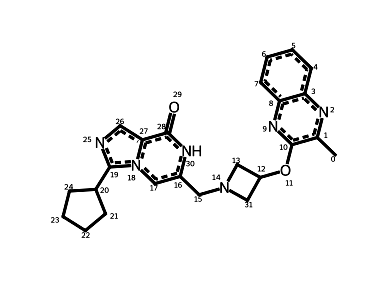 Cc1nc2ccccc2nc1OC1CN(Cc2cn3c(C4CCCC4)ncc3c(=O)[nH]2)C1